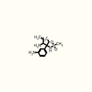 CCC(N)C(CC)(NS(C)(=O)=O)c1cccc(N)c1